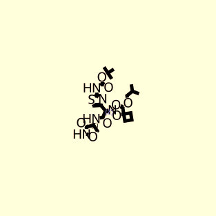 CC(C)COC(=O)C1(O/N=C(\C(=O)N[C@H]2CONC2=O)c2csc(NC(=O)OC(C)(C)C)n2)CCC1